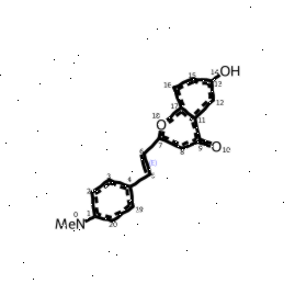 CNc1ccc(/C=C/c2cc(=O)c3cc(O)ccc3o2)cc1